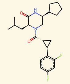 CC(C)C[C@H]1C(=O)N[C@@H](C2CCCC2)CN1C(=O)[C@@H]1C[C@H]1c1ccc(F)cc1F